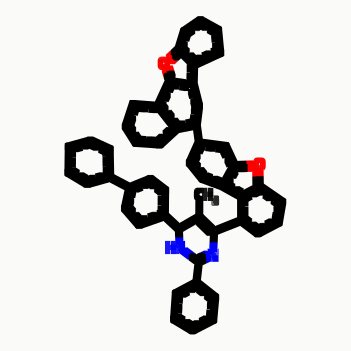 CC1=C(c2cccc3oc4cc(-c5cc6c7ccccc7oc6c6ccccc56)ccc4c23)N=C(c2ccccc2)NC1c1ccc(-c2ccccc2)cc1